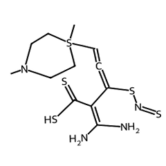 CN1CCS(C)(C=C=C(SN=S)C(C(=S)S)=C(N)N)CC1